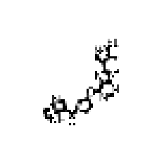 CCn1ncc(-c2nc3c(OC4CCN(C(=O)c5cnn6cc[nH]c56)C4)ncnc3n2C)c1C